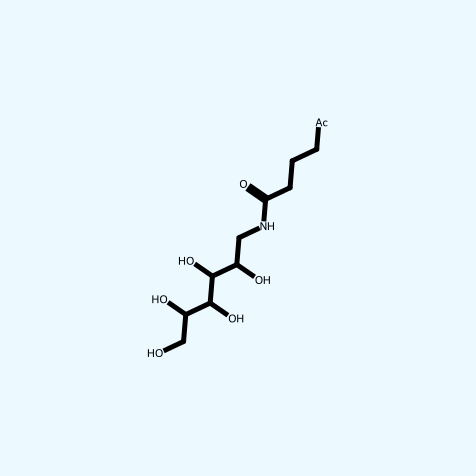 CC(=O)CCCC(=O)NCC(O)C(O)C(O)C(O)CO